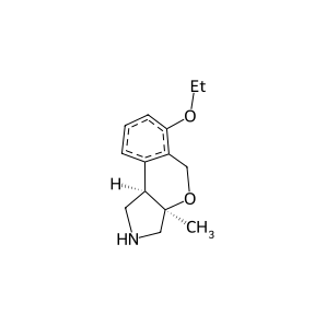 CCOc1cccc2c1CO[C@@]1(C)CNC[C@@H]21